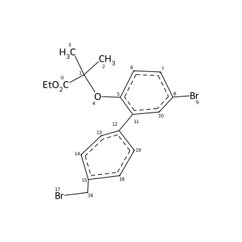 CCOC(=O)C(C)(C)Oc1ccc(Br)cc1-c1ccc(CBr)cc1